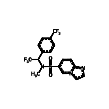 CN(C(c1ccc(C(F)(F)F)cc1)C(F)(F)F)S(=O)(=O)c1ccc2nccn2c1